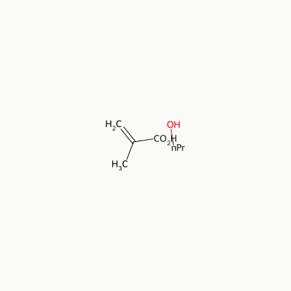 C=C(C)C(=O)O.CCCO